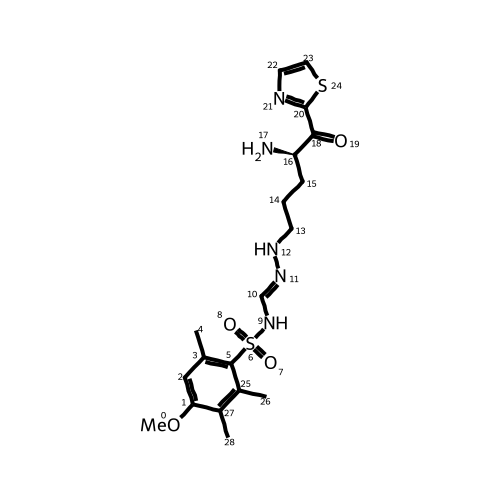 COc1cc(C)c(S(=O)(=O)NC=NNCCC[C@@H](N)C(=O)c2nccs2)c(C)c1C